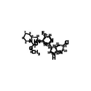 COC(=O)N1CCCCC1CNc1nc(-c2c[nH]c3ncc(Cl)cc23)ncc1F